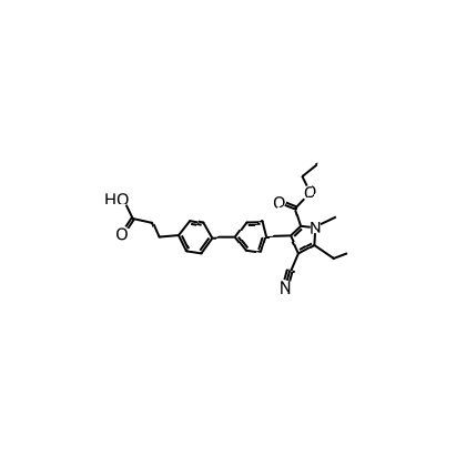 CCOC(=O)c1c(-c2ccc(-c3ccc(CCC(=O)O)cc3)cc2)c(C#N)c(CC)n1C